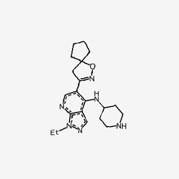 CCn1ncc2c(NC3CCNCC3)c(C3=NOC4(CCCC4)C3)cnc21